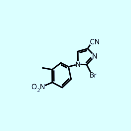 Cc1cc(-n2cc(C#N)nc2Br)ccc1[N+](=O)[O-]